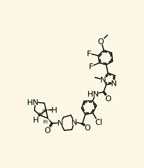 COc1ccc(-c2cnc(C(=O)Nc3ccc(C(=O)N4CCN(C(=O)[C@H]5[C@@H]6CNC[C@@H]65)CC4)c(Cl)c3)n2C)c(F)c1F